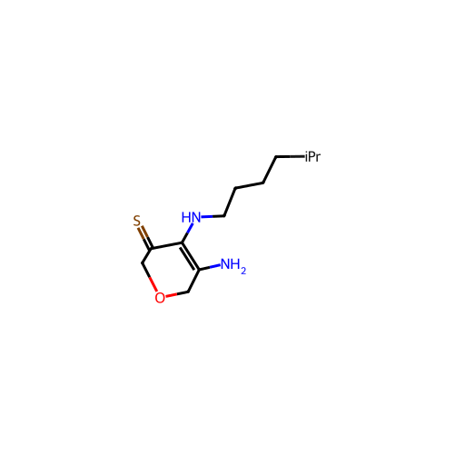 CC(C)CCCCNC1=C(N)COCC1=S